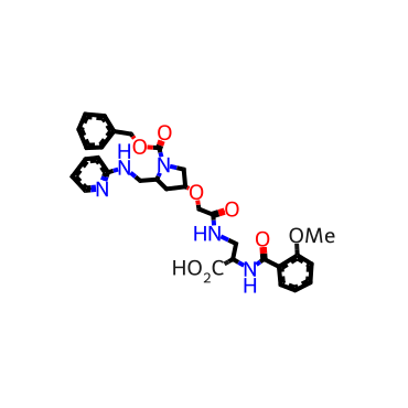 COc1ccccc1C(=O)NC(CNC(=O)COC1CC(CNc2ccccn2)N(C(=O)OCc2ccccc2)C1)C(=O)O